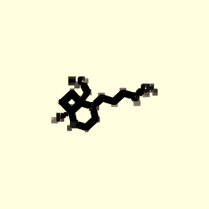 CC[C@]12CC[C@@H]1OCCN2CCCOC